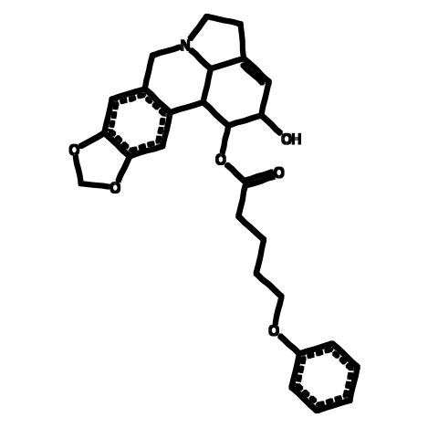 O=C(CCCCOc1ccccc1)OC1C(O)C=C2CCN3Cc4cc5c(cc4C1C23)OCO5